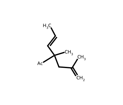 C=C(C)CC(C)(C=CC)C(C)=O